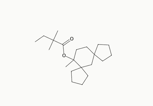 CCC(C)(C)C(=O)OC1(C)CCC2(CCCC2)CC12CCCC2